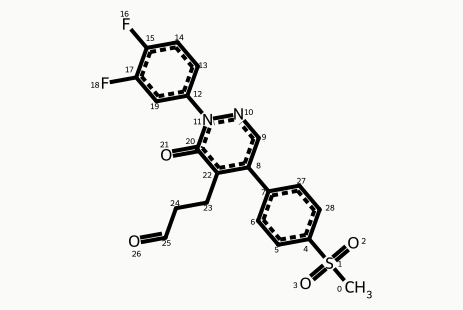 CS(=O)(=O)c1ccc(-c2cnn(-c3ccc(F)c(F)c3)c(=O)c2CCC=O)cc1